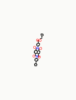 O=C(OCCC1C=CC=C1)c1ccc(N2C(=O)c3ccc4c5c(ccc(c35)C2=O)C(=O)N(c2ccc(C3=CCC=C3)cc2)C4=O)cc1